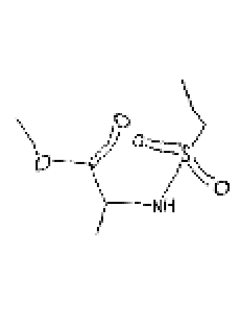 CCS(=O)(=O)NC(C)C(=O)OC